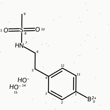 [B+2]c1ccc(CCNS(C)(=O)=O)cc1.[OH-].[OH-]